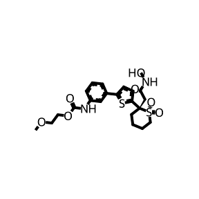 COCCOC(=O)Nc1cccc(-c2ccc([C@@]3(CC(=O)NO)CCCCS3(=O)=O)s2)c1